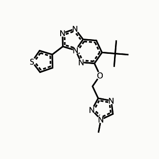 Cn1cnc(COc2nn3c(-c4ccsc4)nnc3cc2C(C)(C)C)n1